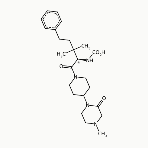 CN1CCN(C2CCN(C(=O)[C@H](NC(=O)O)C(C)(C)CCc3ccccc3)CC2)C(=O)C1